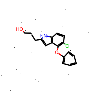 OCCCc1cc2c(Oc3ccccc3)c(Cl)ccc2[nH]1